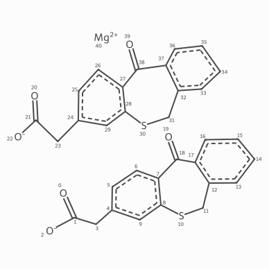 O=C([O-])Cc1ccc2c(c1)SCc1ccccc1C2=O.O=C([O-])Cc1ccc2c(c1)SCc1ccccc1C2=O.[Mg+2]